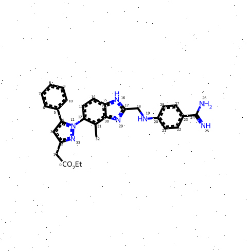 CCOC(=O)Cc1cc(-c2ccccc2)n(-c2ccc3[nH]c(CNc4ccc(C(=N)N)cc4)nc3c2C)n1